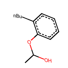 CCCCc1ccccc1OC(C)O